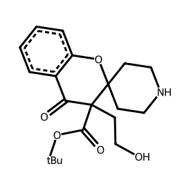 CC(C)(C)OC(=O)C1(CCO)C(=O)c2ccccc2OC12CCNCC2